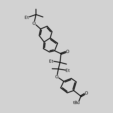 CCC(C)(C)Oc1ccc2cc(C(=O)C(C)(CC)C(C)(CC)Oc3ccc(C(=O)C(C)(C)C)cc3)ccc2c1